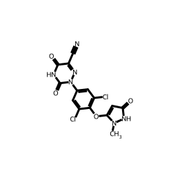 Cn1[nH]c(=O)cc1Oc1c(Cl)cc(-n2nc(C#N)c(=O)[nH]c2=O)cc1Cl